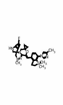 Cc1cn(-c2ccc(/C=C3\OC4(CC4)CN4C3=NN(C)CC43CNc4cc(F)ccc43)c3c2[Si](C)(C)CC3)cn1